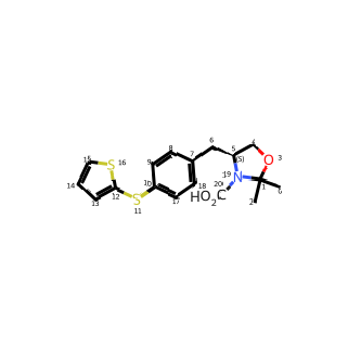 CC1(C)OC[C@H](Cc2ccc(Sc3cccs3)cc2)N1C(=O)O